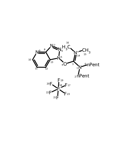 CCCCCN(CCCCC)C(On1nnc2ncccc21)=[N+](C)C.F[P-](F)(F)(F)(F)F